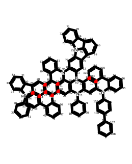 c1ccc(-c2ccc(N(c3ccc4c(c3)N(c3ccccc3)c3cc(N(c5ccc6c7ccccc7n(-c7ccccc7)c6c5)c5ccccc5-c5ccccc5)cc5c3B4c3cc4c6cccc7c8ccccc8n(c4cc3N5c3ccccc3-c3ccccc3)c76)c3ccccc3-c3ccccc3)cc2)cc1